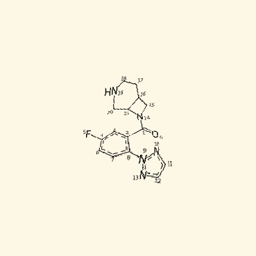 O=C(c1cc(F)ccc1-n1nccn1)N1CC2CCNCC21